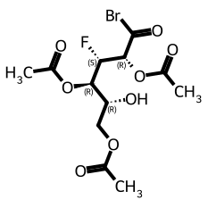 CC(=O)OC[C@@H](O)[C@@H](OC(C)=O)[C@H](F)[C@@H](OC(C)=O)C(=O)Br